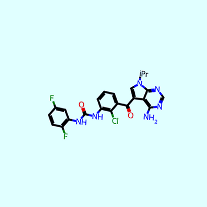 CC(C)n1cc(C(=O)c2cccc(NC(=O)Nc3cc(F)ccc3F)c2Cl)c2c(N)ncnc21